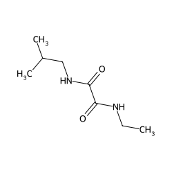 CCNC(=O)C(=O)NCC(C)C